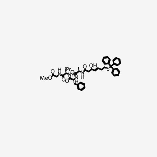 COC(=O)CNC(=O)[C@H](NC(=O)[C@@H](Cc1ccccc1)NC(=O)[C@@H](C)NC(=O)C[C@@H](O)/C=C/CCSC(c1ccccc1)(c1ccccc1)c1ccccc1)C(C)C